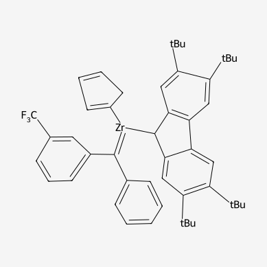 CC(C)(C)c1cc2c(cc1C(C)(C)C)[CH]([Zr]([C]1=CC=CC1)=[C](c1ccccc1)c1cccc(C(F)(F)F)c1)c1cc(C(C)(C)C)c(C(C)(C)C)cc1-2